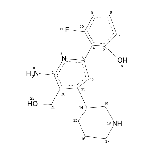 Nc1nc(-c2c(O)cccc2F)cc(C2CCCNC2)c1CO